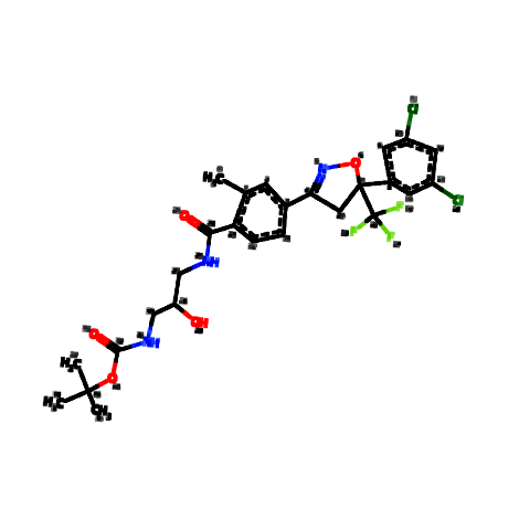 Cc1cc(C2=NOC(c3cc(Cl)cc(Cl)c3)(C(F)(F)F)C2)ccc1C(=O)NCC(O)CNC(=O)OC(C)(C)C